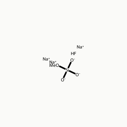 CO[Si]([O-])([O-])[O-].F.[Na+].[Na+].[Na+]